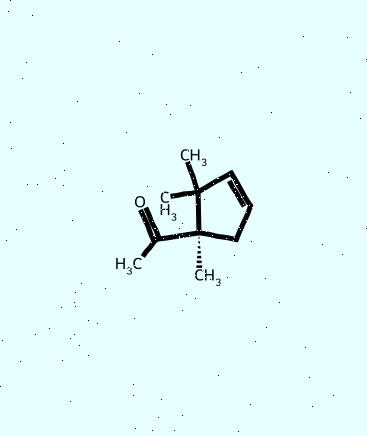 CC(=O)[C@]1(C)CC=CC1(C)C